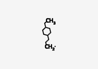 [CH2]CCC1CCC(CC)CC1